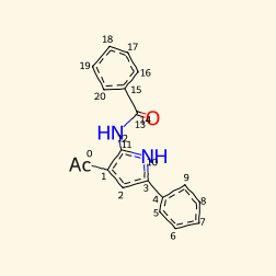 CC(=O)c1cc(-c2ccccc2)[nH]c1NC(=O)c1ccccc1